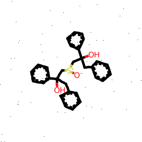 [O-][S+](CC(O)(Cc1ccccc1)c1ccccc1)CC(O)(Cc1ccccc1)c1ccccc1